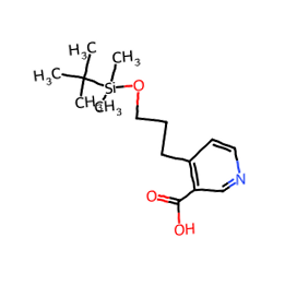 CC(C)(C)[Si](C)(C)OCCCc1ccncc1C(=O)O